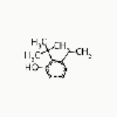 CCc1cccc(O)c1C(C)(C)C